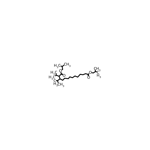 CC(C)COC(=O)CCCCCCCCCCC(C(C)C)C(C(=O)OCC(C)C)C(C)C